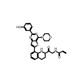 C=CC(=O)NCC(=O)C1CCc2cccc(-c3cc4nc(-c5cccc(O)c5)nc(N5CCOCC5)c4s3)c2N1